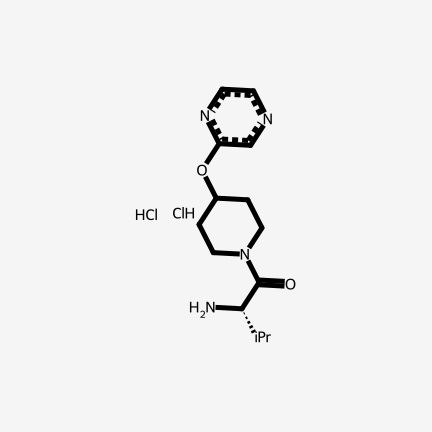 CC(C)[C@H](N)C(=O)N1CCC(Oc2cnccn2)CC1.Cl.Cl